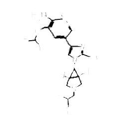 CC(C)c1nc(-c2cnc(N)c(OC(F)F)c2)cn1[C@H]1[C@@H]2CN(CC(F)F)C[C@@H]21